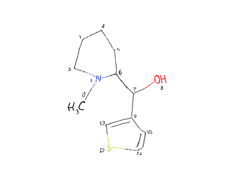 CN1CCCCC1C(O)c1ccsc1